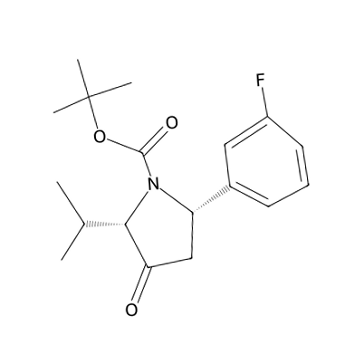 CC(C)[C@H]1C(=O)C[C@@H](c2cccc(F)c2)N1C(=O)OC(C)(C)C